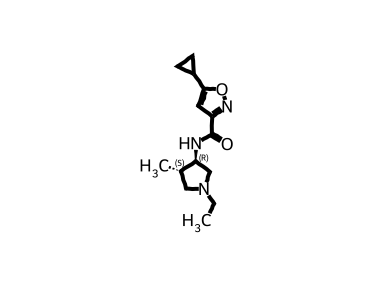 CCN1C[C@H](NC(=O)c2cc(C3CC3)on2)[C@@H](C)C1